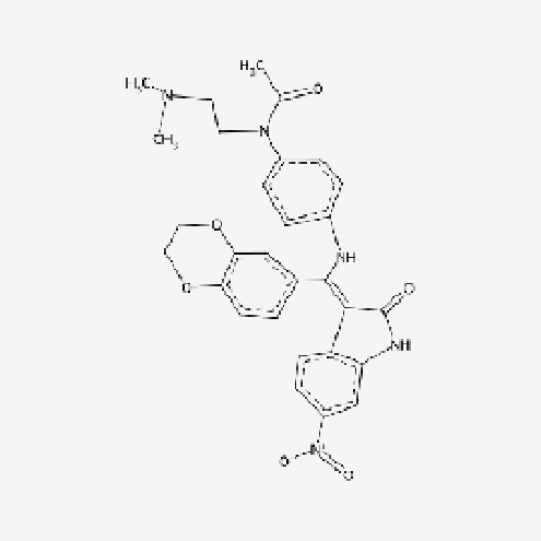 CC(=O)N(CCN(C)C)c1ccc(N/C(=C2\C(=O)Nc3cc([N+](=O)[O-])ccc32)c2ccc3c(c2)OCCO3)cc1